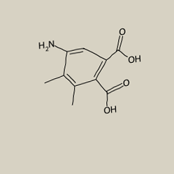 Cc1c(N)cc(C(=O)O)c(C(=O)O)c1C